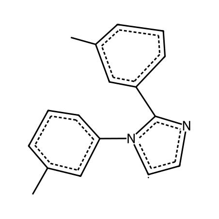 Cc1cccc(-c2nc[c]n2-c2cccc(C)c2)c1